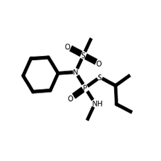 CCC(C)SP(=O)(NC)N(C1CCCCC1)S(C)(=O)=O